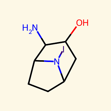 NC1C(O)CC2CCC1N2I